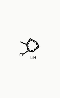 Cc1cc[c]cc1Cl.[LiH]